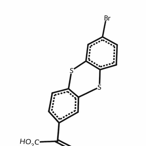 C=C(C(=O)O)c1ccc2c(c1)Sc1ccc(Br)cc1S2